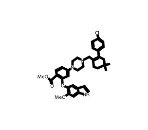 COC(=O)c1ccc(N2CCN(CC3=C(c4ccc(Cl)cc4)CC(C)(C)CC3)CC2)cc1Oc1cc2cc[nH]c2cc1OC